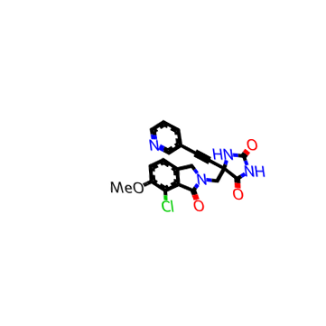 COc1ccc2c(c1Cl)C(=O)N(CC1(C#Cc3cccnc3)NC(=O)NC1=O)C2